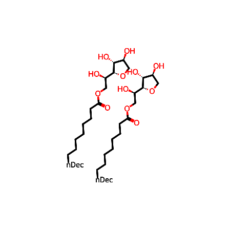 CCCCCCCCCCCCCCCCCC(=O)OC[C@@H](O)[C@H]1OC[C@H](O)[C@H]1O.CCCCCCCCCCCCCCCCCC(=O)OC[C@@H](O)[C@H]1OC[C@H](O)[C@H]1O